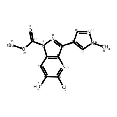 Cc1cc2c(nc1Cl)c(-c1cnn(C)c1)nn2C(=O)OC(C)(C)C